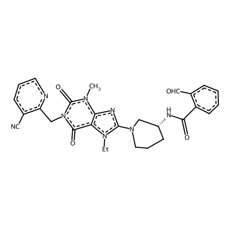 CCn1c(N2CCC[C@@H](NC(=O)c3ccccc3C=O)C2)nc2c1c(=O)n(Cc1ncccc1C#N)c(=O)n2C